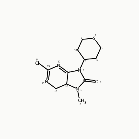 CN1C(=O)N(C2CCSCC2)C2=NC(Cl)=NCC21